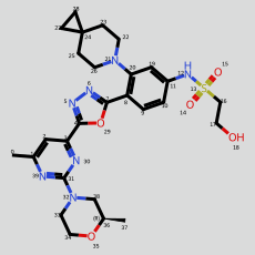 Cc1cc(-c2nnc(-c3ccc(NS(=O)(=O)CCO)cc3N3CCC4(CC3)CC4)o2)nc(N2CCO[C@H](C)C2)n1